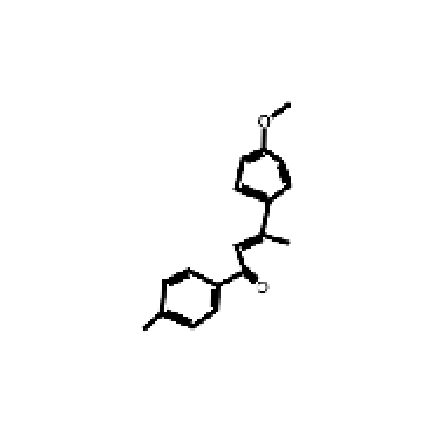 COc1ccc(/C(C)=C/C(=O)c2ccc(C)cc2)cc1